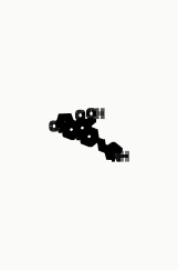 C[C@]12CC[C@H](CCC3CCNC3)CC1C(CO)C(=O)C1C2CC[C@]2(C)C(=O)CCC12